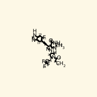 C=CC(=O)N1C[C@@H](n2nc(C#Cc3cc4nc[nH]c4cc3F)c(C(N)=O)c2NC)C[C@@H]1COC(F)(F)F